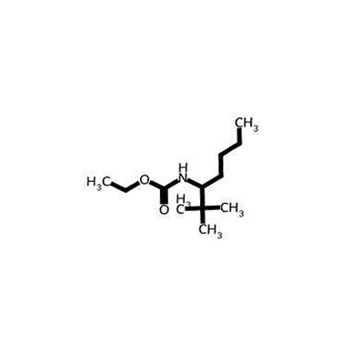 CCCCC(NC(=O)OCC)C(C)(C)C